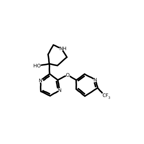 OC1(c2nccnc2Oc2ccc(C(F)(F)F)nc2)CCNCC1